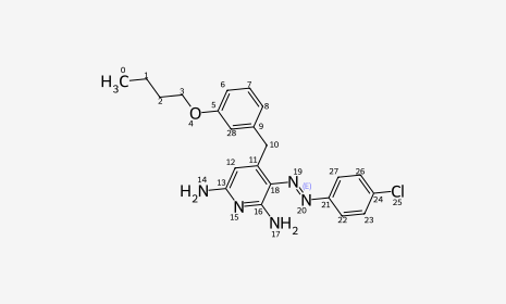 CCCCOc1cccc(Cc2cc(N)nc(N)c2/N=N/c2ccc(Cl)cc2)c1